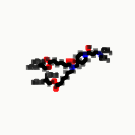 CCCCCCCCC(CCCCCCCC)COC(=O)CCCCCN(CCCCCC(=O)OCC(CCCCCCCC)CCCCCCCC)CC1(O)CCN(C(=O)CCN(C)C)CC1